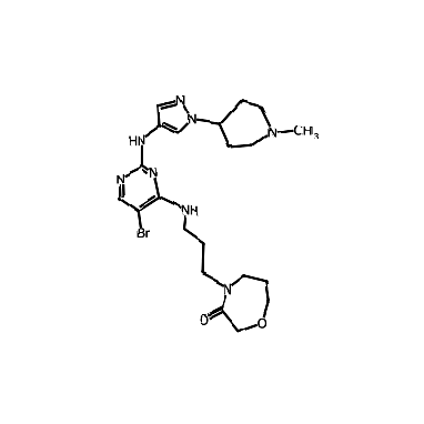 CN1CCC(n2cc(Nc3ncc(Br)c(NCCCN4CCCOCC4=O)n3)cn2)CC1